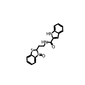 O=C(NCCC1Sc2ccccc2[N+]1=O)c1cc2ccccc2[nH]1